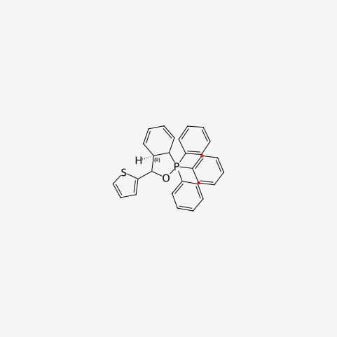 C1=CC2[C@H](C=C1)C(c1cccs1)OP2(c1ccccc1)(c1ccccc1)c1ccccc1